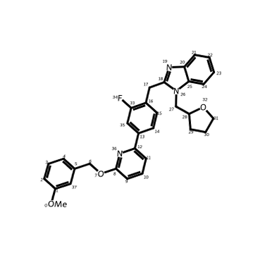 COc1cccc(COc2cccc(-c3ccc(Cc4nc5ccccc5n4CC4CCCO4)c(F)c3)n2)c1